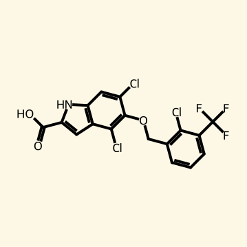 O=C(O)c1cc2c(Cl)c(OCc3cccc(C(F)(F)F)c3Cl)c(Cl)cc2[nH]1